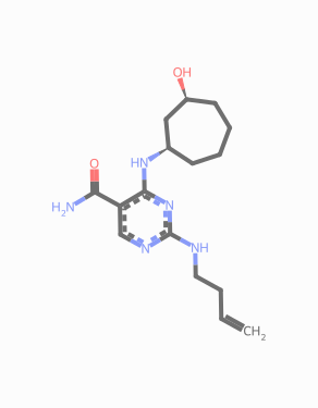 C=CCCNc1ncc(C(N)=O)c(N[C@@H]2CCCC[C@H](O)C2)n1